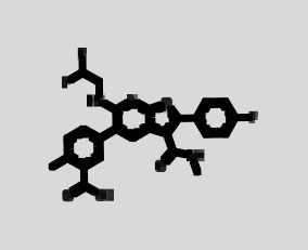 CNC(=O)c1c(-c2ccc(F)cc2)oc2nc(NCC(F)F)c(-c3ccc(C)c(C(=O)O)c3)cc12